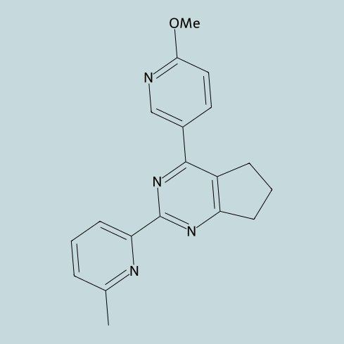 COc1ccc(-c2nc(-c3cccc(C)n3)nc3c2CCC3)cn1